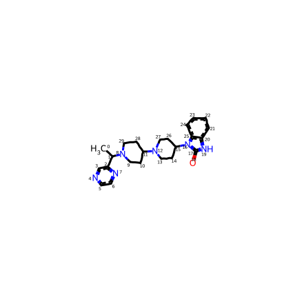 CC(c1cnccn1)N1CCC(N2CCC(n3c(=O)[nH]c4ccccc43)CC2)CC1